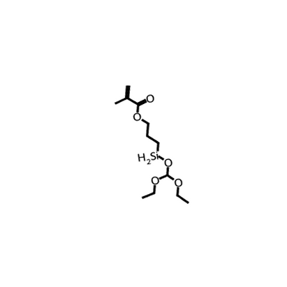 C=C(C)C(=O)OCCC[SiH2]OC(OCC)OCC